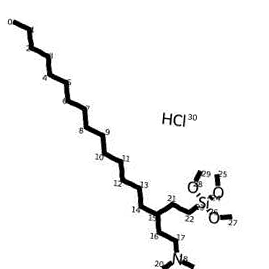 CCCCCCCCCCCCCCCC(CCN(C)C)CC[Si](OC)(OC)OC.Cl